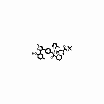 Cc1ccc(O)c(-c2nn(C)cc2-c2ccc(NC(=O)C3CCCCN3C(=O)[C@H](Cc3ccco3)NC(=O)OC(C)(C)C)cc2)c1